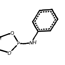 c1ccc(NP2OCCO2)cc1